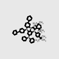 CC(C)(C)c1ccc(N2c3cc(N(c4ccccc4)c4ccccc4)cc4c3B(c3cc(-c5ccccc5)ccc3N4c3ccc(-c4ccccc4)cc3)c3sc4c(c32)C(C)(C)CCC4(C)C)cc1